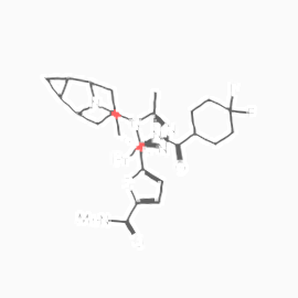 CNC(=O)c1ccc([C@H](CCN2C3CC(n4c(C)nnc4C(C)C)CC2C2CC23)NC(=O)C2CCC(F)(F)CC2)s1